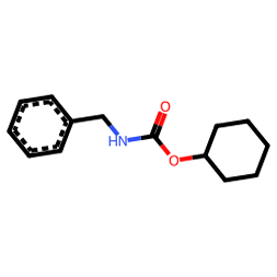 O=C(NCc1ccccc1)OC1CCCCC1